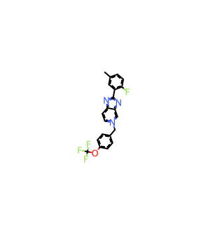 Cc1ccc(F)c(-c2nc3ccn(Cc4ccc(OC(F)(F)F)cc4)cc-3n2)c1